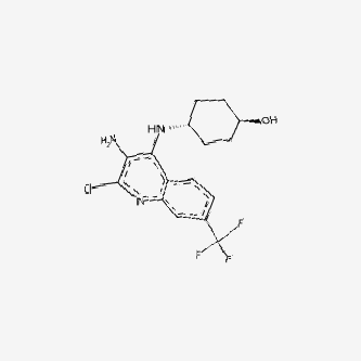 Nc1c(Cl)nc2cc(C(F)(F)F)ccc2c1N[C@H]1CC[C@H](O)CC1